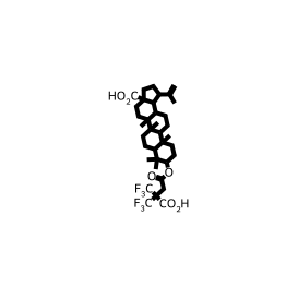 C=C(C)C1CCC2(C(=O)O)CCC3(C)C(CCC4C5(C)CCC(OC(=O)CC(C(=O)O)(C(F)(F)F)C(F)(F)F)C(C)(C)C5CCC43C)C12